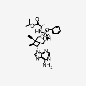 C#C[C@]1(COP(=O)(N[C@@H](C)C(=O)OC(C)C)Oc2ccccc2)C(=C)[C@@H](n2cnc3c(N)ncnc32)[C@@H]1CO